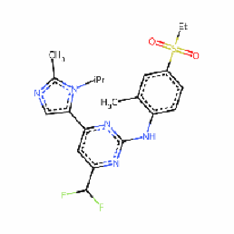 CCS(=O)(=O)c1ccc(Nc2nc(-c3cnc(C)n3C(C)C)cc(C(F)F)n2)c(C)c1